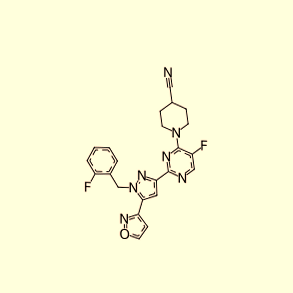 N#CC1CCN(c2nc(-c3cc(-c4ccon4)n(Cc4ccccc4F)n3)ncc2F)CC1